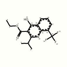 CCOC(=O)c1c(C(C)C)nc2c(C(F)(F)F)cccc2c1O